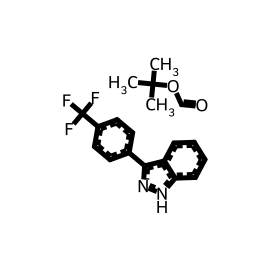 CC(C)(C)OC=O.FC(F)(F)c1ccc(-c2n[nH]c3ccccc23)cc1